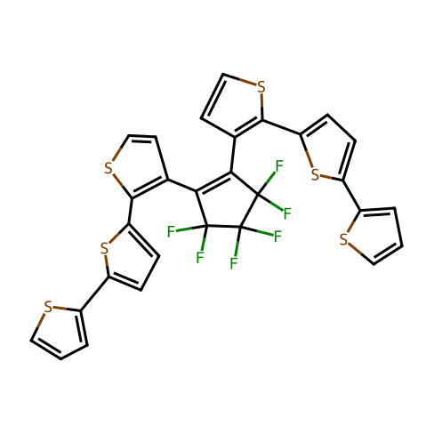 FC1(F)C(c2ccsc2-c2ccc(-c3cccs3)s2)=C(c2ccsc2-c2ccc(-c3cccs3)s2)C(F)(F)C1(F)F